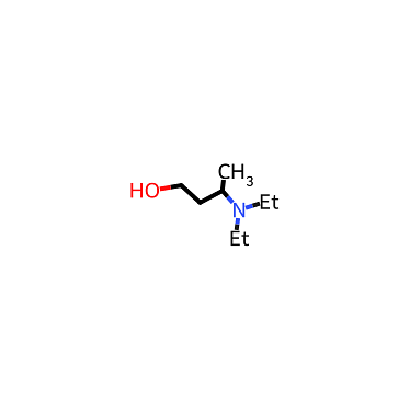 CCN(CC)C(C)CCO